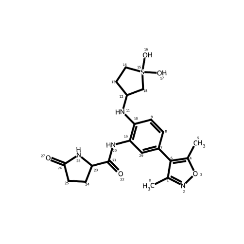 Cc1noc(C)c1-c1ccc(NC2CCS(O)(O)C2)c(NC(=O)C2CCC(=O)N2)c1